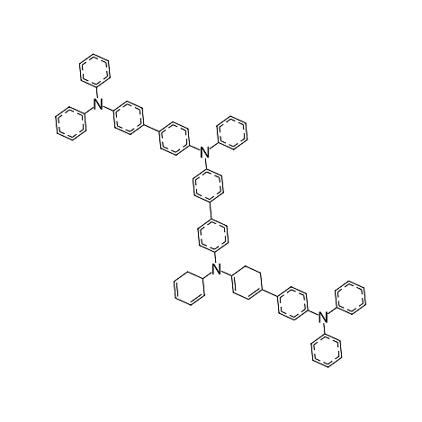 C1=CCC(N(C2=CC=C(c3ccc(N(c4ccccc4)c4ccccc4)cc3)CC2)c2ccc(-c3ccc(N(c4ccccc4)c4ccc(-c5ccc(N(c6ccccc6)c6ccccc6)cc5)cc4)cc3)cc2)C=C1